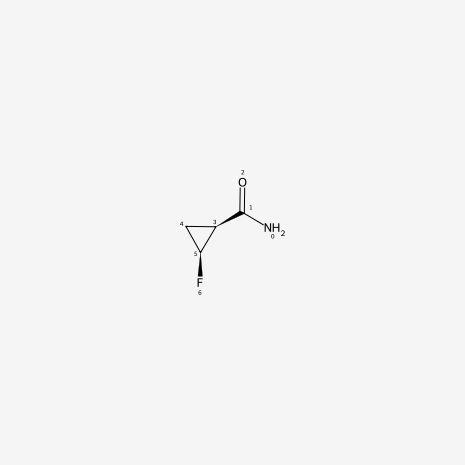 NC(=O)[C@@H]1C[C@@H]1F